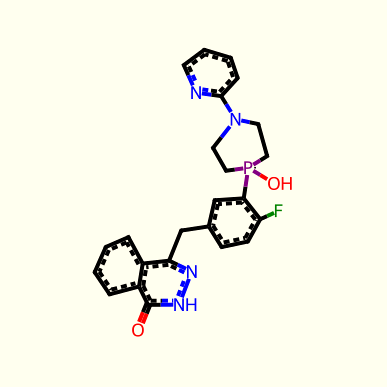 O=c1[nH]nc(Cc2ccc(F)c([P]3(O)CCN(c4ccccn4)CC3)c2)c2ccccc12